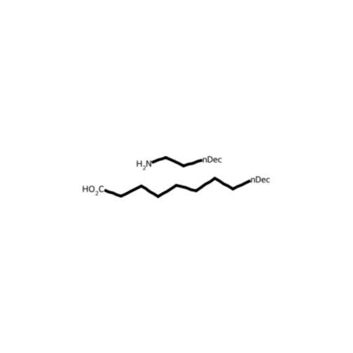 CCCCCCCCCCCCCCCCCC(=O)O.CCCCCCCCCCCCN